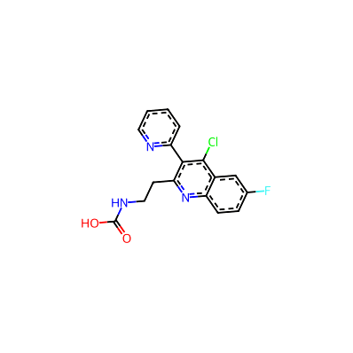 O=C(O)NCCc1nc2ccc(F)cc2c(Cl)c1-c1ccccn1